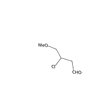 COCC(Cl)C[C]=O